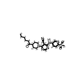 CCCCCC(=O)C1CCN(c2ncnc(Nc3ccc(S(C)(=O)=O)nc3)c2C#N)CC1